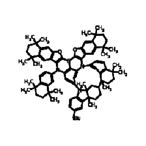 CC(C)(C)c1ccc2c(c1)C1(C)CCC3CC1(C)N2c1cc2c4c(c1)N(c1ccc5c(c1)C3(C)CCC5(C)C)c1c(oc3cc5c(cc13)C(C)(C)CCC5(C)C)B4c1oc3cc4c(cc3c1N2c1ccc2c(c1)C(C)(C)CCC2(C)C)C(C)(C)CCC4(C)C